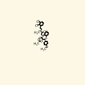 COc1ccc([C@@H]2Sc3ccccc3N(CC(C)N(C)CCc3cccc(Cl)c3Cl)C(=O)C2OC(C)=O)cc1